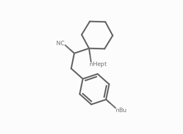 CCCCCCCC1(C(C#N)Cc2ccc(CCCC)cc2)CCCCC1